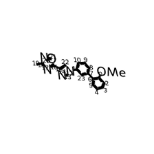 COc1ccccc1-c1cccc(-n2cnc(-c3nc(C)no3)c2)c1